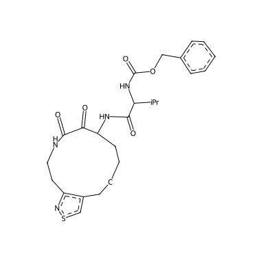 CC(C)C(NC(=O)OCc1ccccc1)C(=O)NC1CCCCc2csnc2CCNC(=O)C1=O